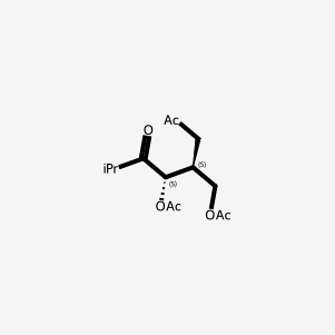 CC(=O)C[C@@H](COC(C)=O)[C@H](OC(C)=O)C(=O)C(C)C